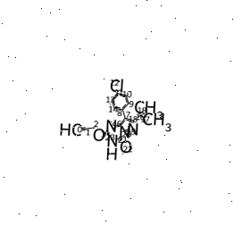 C#CCOc1nc2c(-c3ccc(Cl)cc3)c(C(C)C)nn2c(=O)[nH]1